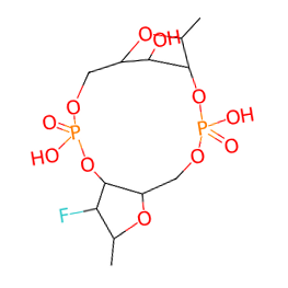 CC1OC2COP(=O)(O)OC3C(C)OC(COP(=O)(O)OC2C1F)C3O